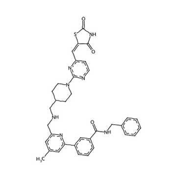 Cc1cc(CNCC2CCN(c3nccc(C=C4SC(=O)NC4=O)n3)CC2)nc(-c2cccc(C(=O)NCc3ccccc3)c2)c1